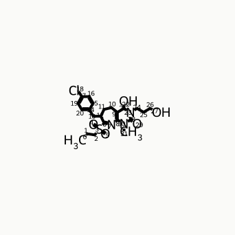 CCCS(=O)(=O)C1=NC2=C(CCC1Cc1ccc(Cl)cc1)C(O)N(CCCO)C(=O)N2C